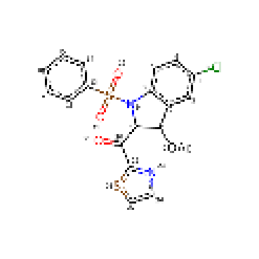 CC(=O)OC1c2cc(Cl)ccc2N(S(=O)(=O)c2ccccc2)C1C(=O)c1nccs1